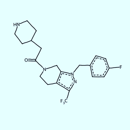 O=C(CC1CCNCC1)N1CCc2c(C(F)(F)F)nn(Cc3ccc(F)cc3)c2C1